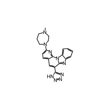 CN1CCCN(c2ccc3cc(-c4nnn[nH]4)c4nc5ccccc5n4c3n2)CC1